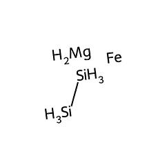 [Fe].[MgH2].[SiH3][SiH3]